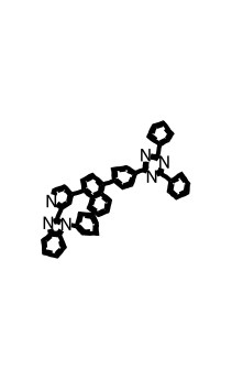 c1ccc(-c2nc(-c3ccccc3)nc(-c3ccc(-c4ccc(-c5ccnc(-c6nc7ccccc7n6-c6ccccc6)c5)c5ccccc45)cc3)n2)cc1